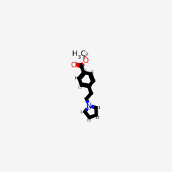 COC(=O)c1ccc(CCN2CCCC2)cc1